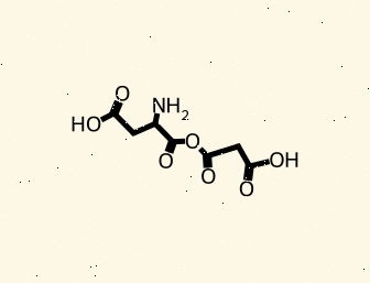 NC(CC(=O)O)C(=O)OC(=O)CC(=O)O